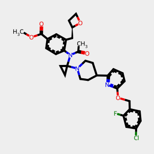 COC(=O)c1ccc(N(C(C)=O)C2(N3CCC(c4cccc(OCc5ccc(Cl)cc5F)n4)CC3)CC2)c(C[C@H]2CCO2)c1